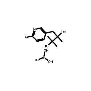 CC(C)(O)C(C)(O)Cc1ccc(F)nc1.OB(O)O